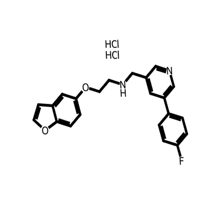 Cl.Cl.Fc1ccc(-c2cncc(CNCCOc3ccc4occc4c3)c2)cc1